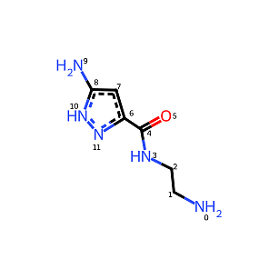 NCCNC(=O)c1cc(N)[nH]n1